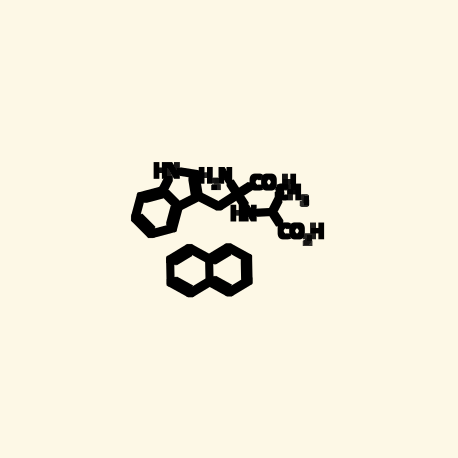 CC(NC(N)(Cc1c[nH]c2ccccc12)C(=O)O)C(=O)O.c1ccc2ccccc2c1